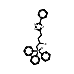 SC(CCc1nnc(-c2ccccc2)o1)CP(Br)(c1ccccc1)(c1ccccc1)c1ccccc1